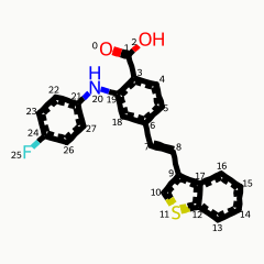 O=C(O)c1ccc(/C=C/c2csc3ccccc23)cc1Nc1ccc(F)cc1